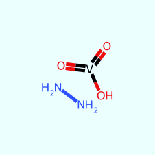 NN.[O]=[V](=[O])[OH]